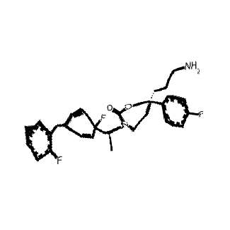 C[C@H](N1CC[C@](CCCN)(c2ccc(F)cc2)OC1=O)C1(F)C=CC(c2ccccc2F)C=C1